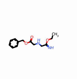 CCOC(=N)CNCC(=O)OCc1ccccc1